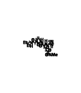 CCC(CC)CNC(=O)Cn1cccc(NC(=O)C(CCCC(=O)C(=O)NC)NC(=O)c2cncn2C)c1=O